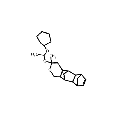 CC(OC1CCCCC1)OC1(C)CC2C(CO1)C1CC2C2C3C=CC(C3)C12